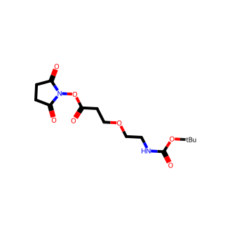 CC(C)(C)OC(=O)NCCOCCC(=O)ON1C(=O)CCC1=O